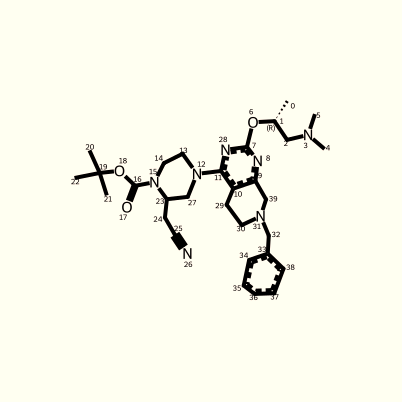 C[C@H](CN(C)C)Oc1nc2c(c(N3CCN(C(=O)OC(C)(C)C)C(CC#N)C3)n1)CCN(Cc1ccccc1)C2